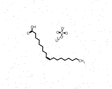 CCCCCCCC/C=C\CCCCCCCC(=O)O.[Li+].[Li+].[O]=[Cr](=[O])([O-])[O-]